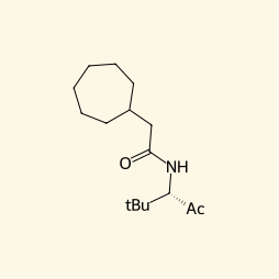 CC(=O)[C@@H](NC(=O)CC1CCCCCC1)C(C)(C)C